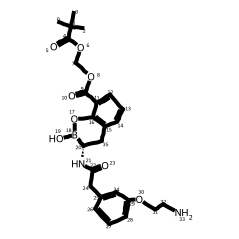 CC(C)(C)C(=O)OCOC(=O)c1cccc2c1OB(O)[C@@H](NC(=O)Cc1cccc(OCCN)c1)C2